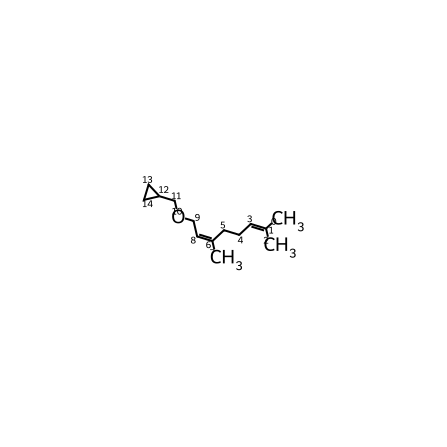 CC(C)=CCCC(C)=CCOCC1CC1